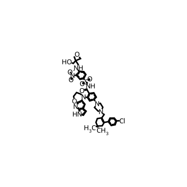 CC1(C)CCC(CN2CCN(c3ccc(C(=O)NS(=O)(=O)c4ccc(NCC5(CO)COC5)c([N+](=O)[O-])c4)c(N4CCCOc5nc6[nH]ccc6cc54)c3)CC2)=C(c2ccc(Cl)cc2)C1